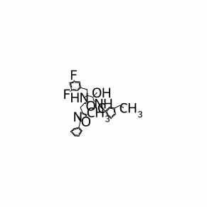 CCc1cccc(CNC[C@H](O)[C@H](Cc2cc(F)cc(F)c2)NC(=O)Cc2nc(-c3ccccc3)oc2C)c1